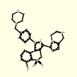 O=S1(=O)Cc2c(-c3ncc4n3CCOC4)nn(-c3ccc(CN4CCOCC4)cc3)c2-c2cccc(Cl)c21